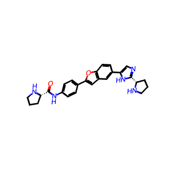 O=C(Nc1ccc(-c2cc3cc(-c4cnc([C@@H]5CCCN5)[nH]4)ccc3o2)cc1)[C@@H]1CCCN1